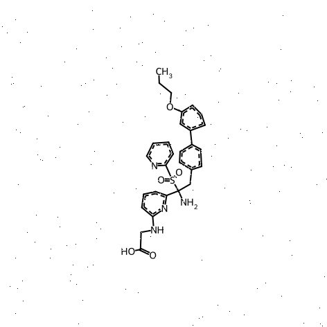 CCCOc1cccc(-c2ccc(CC(N)(c3cccc(NCC(=O)O)n3)S(=O)(=O)c3ccccn3)cc2)c1